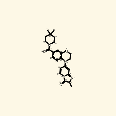 CC1N=C2C=C(N3CCOc4cc(C(=O)N5CCC(C)(C)CC5)ccc43)C=CN2C1=O